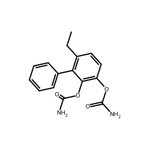 CCc1ccc(OC(N)=O)c(OC(N)=O)c1-c1ccccc1